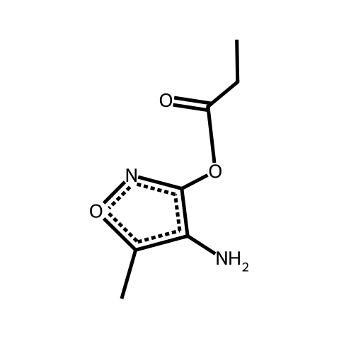 CCC(=O)Oc1noc(C)c1N